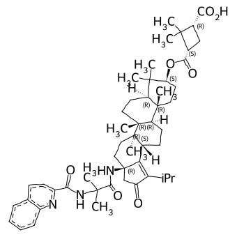 CC(C)C1=C2[C@H]3CC[C@@H]4[C@@]5(C)CC[C@H](OC(=O)[C@H]6C[C@@H](C(=O)O)C6(C)C)C(C)(C)[C@@H]5CC[C@@]4(C)[C@]3(C)CC[C@@]2(NC(=O)C(C)(C)NC(=O)c2ccc3ccccc3n2)CC1=O